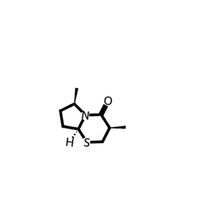 C[C@@H]1CC[C@@H]2SC[C@H](C)C(=O)N12